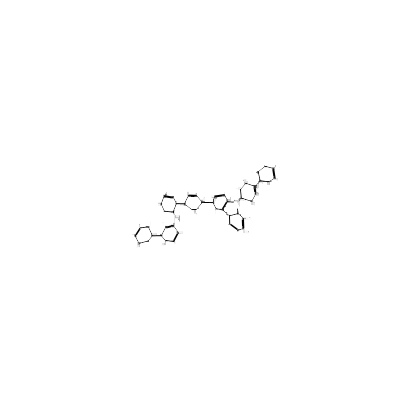 C1=CC2C3=C(C=CC(C4C=CC(C5C=CCCC5NC5=CC(C6CC=CCC6)CC=C5)CC4)C3)N(C3CC=C(C4CC=CCC4)CC3)C2C=C1